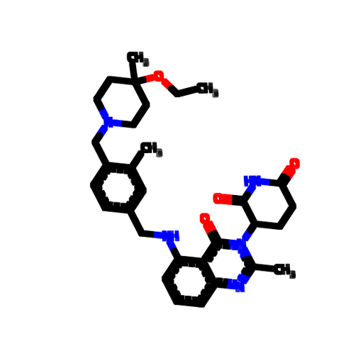 CCOC1(C)CCN(Cc2ccc(CNc3cccc4nc(C)n(C5CCC(=O)NC5=O)c(=O)c34)cc2C)CC1